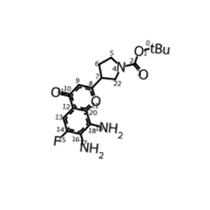 CC(C)(C)OC(=O)N1CCC(c2cc(=O)c3cc(F)c(N)c(N)c3o2)C1